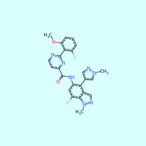 COc1cccc(F)c1-c1nccc(C(=O)Nc2cc(F)c3c(cnn3C)c2-c2cnn(C)c2)n1